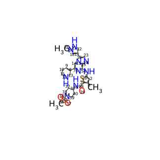 Cc1cc(Nc2nc(C3=CCCNC3)cn3c(C4=CN(C)NC4)cnc23)sc1C(=O)NC1CCN(S(C)(=O)=O)CC1